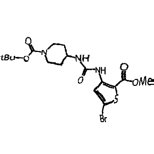 COC(=O)c1sc(Br)cc1NC(=O)NC1CCN(C(=O)OC(C)(C)C)CC1